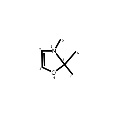 CN1C=COC1(C)C